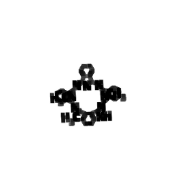 Cc1nc2c3ccccc3c(nc3nc(nc4c5ccccc5c(nc(=N)c5ccccc15)n4C)-c1ccccc1-3)n2C